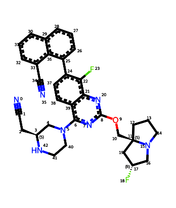 N#CC[C@H]1CN(c2nc(OC[C@@]34CCCN3C[C@H](F)C4)nc3c(F)c(-c4cccc5cccc(C#N)c45)ccc23)CCN1